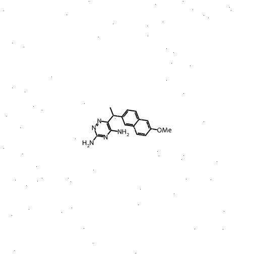 COc1ccc2cc(C(C)c3nnc(N)nc3N)ccc2c1